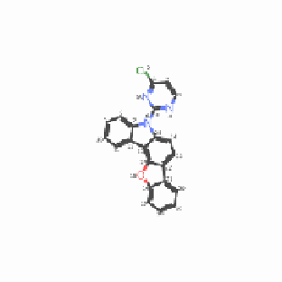 Clc1ccnc(-n2c3ccccc3c3c4oc5ccccc5c4ccc32)n1